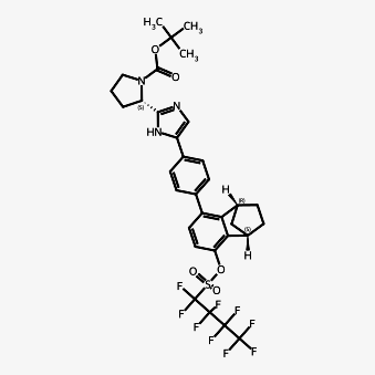 CC(C)(C)OC(=O)N1CCC[C@H]1c1ncc(-c2ccc(-c3ccc(OS(=O)(=O)C(F)(F)C(F)(F)C(F)(F)C(F)(F)F)c4c3[C@@H]3CC[C@H]4C3)cc2)[nH]1